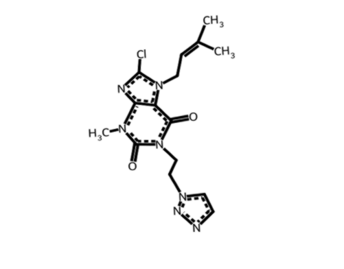 CC(C)=CCn1c(Cl)nc2c1c(=O)n(CCn1ccnn1)c(=O)n2C